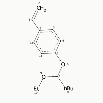 C=Cc1ccc(OC(CCCC)OCC)cc1